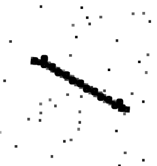 CCC(C)C(=O)OCCOCCOCCOCCOCCOCCOCCOCCOCCOCCOC(=O)C(C)CC